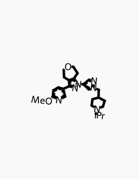 COc1ccc(-c2nn(-c3cnn(CC4CCN(C(C)C)CC4)c3)c3c2CCOCC3)cn1